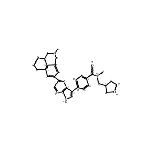 CN1Cc2cc(-c3cnc4[nH]cc(-c5ccc(C(=O)N(C)CC6CCOC6)cc5)c4c3)cc3c2C(CCC3)C1